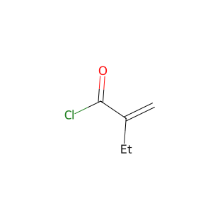 C=C(CC)C(=O)Cl